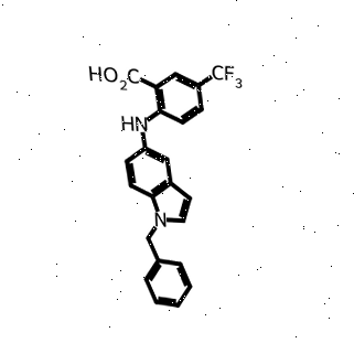 O=C(O)c1cc(C(F)(F)F)ccc1Nc1ccc2c(ccn2Cc2ccccc2)c1